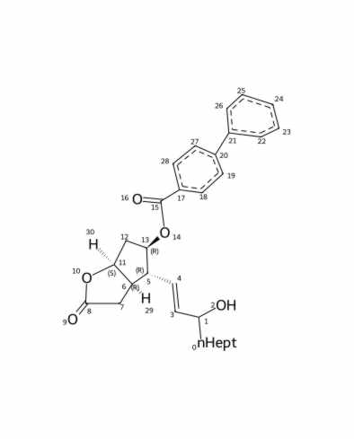 CCCCCCCC(O)C=C[C@@H]1[C@H]2CC(=O)O[C@H]2C[C@H]1OC(=O)c1ccc(-c2ccccc2)cc1